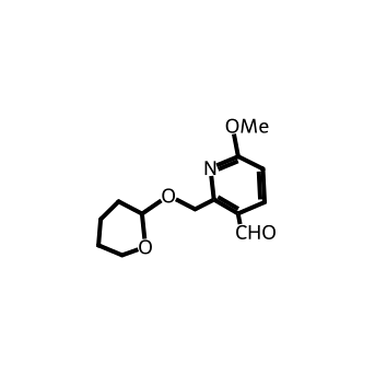 COc1ccc(C=O)c(COC2CCCCO2)n1